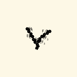 CCC1(CC)c2ccccc2-c2ccc(-c3ccc4c(c3)C(CC)(CC)c3cc(-c5ccc6c(c5)C(CC)(CC)c5cc(-c7cc8c(cc7-c7ccc9c(c7)C(C)(C(F)(F)F)c7cc(-c%10ccc%11c(c%10)C(C)(C(F)(F)F)c%10cc(-c%12ccc%13c(c%12)C(C)(C(F)(F)F)c%12ccccc%12-%13)ccc%10-%11)ccc7-9)C(C)(C)c7cc(C)c(C)cc7-8)ccc5-6)ccc3-4)cc21